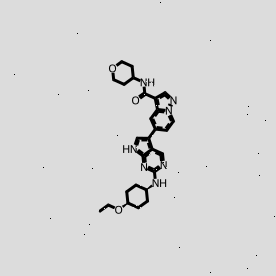 CCO[C@H]1CC[C@@H](Nc2ncc3c(-c4ccn5ncc(C(=O)NC6CCOCC6)c5c4)c[nH]c3n2)CC1